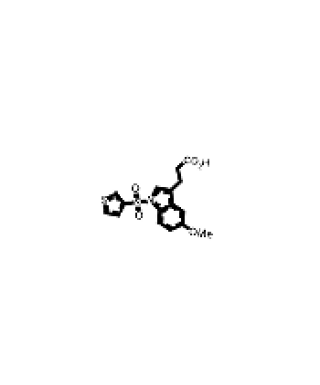 COc1ccc2c(c1)c(CCC(=O)O)cn2S(=O)(=O)c1ccsc1